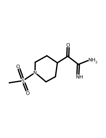 CS(=O)(=O)N1CCC(C(=O)C(=N)N)CC1